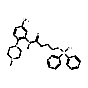 CN1CCN(c2ccc(N)cc2N(C)C(=O)CCCO[Si](c2ccccc2)(c2ccccc2)C(C)(C)C)CC1